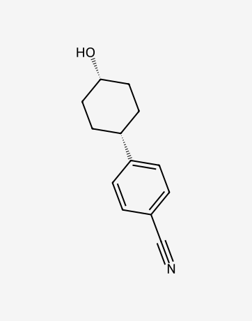 N#Cc1ccc([C@H]2CC[C@@H](O)CC2)cc1